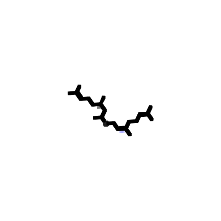 CC(C)=CCC/C(C)=C\COC(C)C[C@H](C)CCC=C(C)C